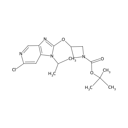 CC(C)n1c(OC2CN(C(=O)OC(C)(C)C)C2)nc2cnc(Cl)cc21